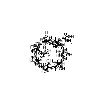 N[C@H](CSCC1O[C@@H]2O[C@@H]3C(CO)O[C@@H](O[C@@H]4C(CO)O[C@@H](O[C@@H]5C(CSC[C@@H](N)C(=O)O)O[C@@H](O[C@@H]6C(CO)O[C@H](O[C@@H]7C(CO)O[C@H](O[C@@H]8C(CO)O[C@H](C[C@H]8O)O[C@H]1[C@H](O)C2O)C(O)[C@H]7O)C(O)[C@H]6O)C(O)[C@H]5O)C(O)[C@H]4O)C(O)[C@H]3O)C(=O)O